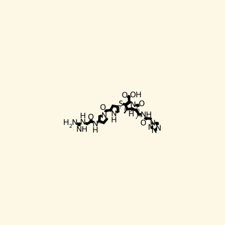 C[C@@H](NC(=O)Cn1cnnn1)[C@H]1C(=O)N2C(C(=O)O)=C(S[C@@H]3CNC(C(=O)N4CC[C@@H](NC(=O)CNC(=N)N)C4)C3)[C@H](C)[C@H]12